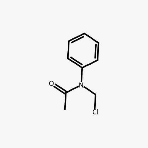 CC(=O)N(CCl)c1ccccc1